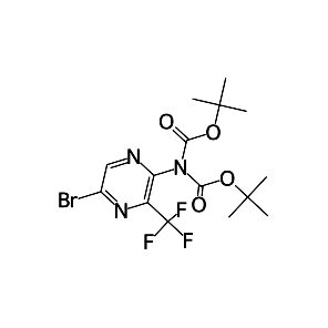 CC(C)(C)OC(=O)N(C(=O)OC(C)(C)C)c1ncc(Br)nc1C(F)(F)F